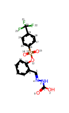 O=C(O)NN=Cc1ccccc1OS(=O)(=O)c1ccc(C(F)(F)F)cc1